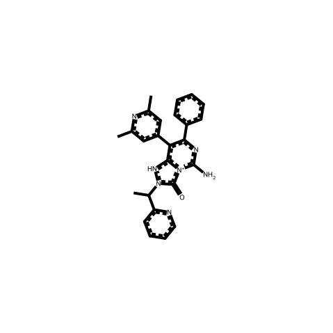 Cc1cc(-c2c(-c3ccccc3)nc(N)[n+]3c(=O)n(C(C)c4ccccn4)[nH]c23)cc(C)n1